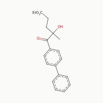 CCOC(=O)CCC(C)(O)C(=O)c1ccc(-c2ccccc2)cc1